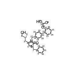 CCCCc1cn(Cc2ccccc2)c(=O)n1Cc1ccc(-c2ccccc2OC(=O)O)cc1